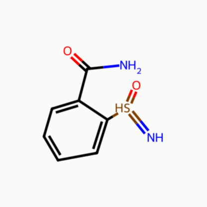 N=[SH](=O)c1ccccc1C(N)=O